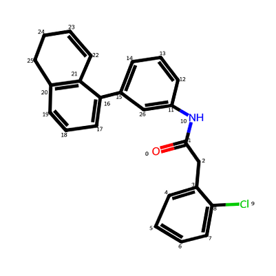 O=C(Cc1ccccc1Cl)Nc1cccc(-c2cccc3c2C=CCC3)c1